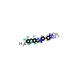 Cc1nc2cc(-c3ccc4[nH]c(Cc5c(F)c(F)c(Cc6c(F)c(F)c(C)c(F)c6F)c(F)c5F)nc4c3)ccc2[nH]1